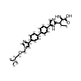 CCC(C(=N)C(=O)O)c1ncc(-c2ccc(-c3ccc(-c4cn(COCC[Si](C)(C)C)cn4)cc3)cc2)[nH]1